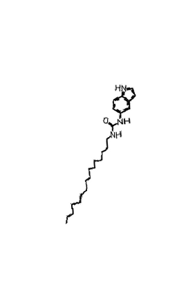 CCCCCCCCCCCCCCCCNC(=O)Nc1ccc2[nH]ccc2c1